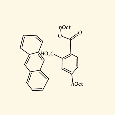 CCCCCCCCOC(=O)c1ccc(CCCCCCCC)cc1C(=O)O.c1ccc2cc3ccccc3cc2c1